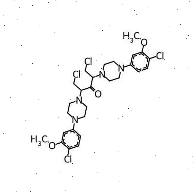 COc1cc(N2CCN(C(CCl)C(=O)C(CCl)N3CCN(c4ccc(Cl)c(OC)c4)CC3)CC2)ccc1Cl